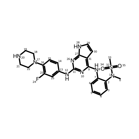 CN(c1ccccc1Nc1nc(Nc2ccc(N3CCNCC3)c(F)c2)nc2[nH]ccc12)S(C)(=O)=O